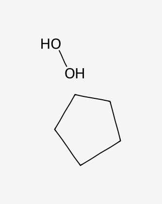 C1CCCC1.OO